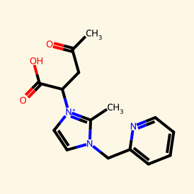 CC(=O)CC(C(=O)O)[n+]1ccn(Cc2ccccn2)c1C